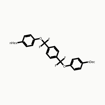 CCCCCCCCCCc1ccc(OC(F)(F)c2ccc(C(F)(F)Oc3ccc(CCCCCC)cc3)cc2)cc1